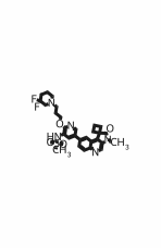 CN1C(=O)C2(CCC2)c2c1cnc1ccc(-c3cnc(OCCCN4CCCC(F)(F)C4)c(NS(C)(=O)=O)c3)cc21